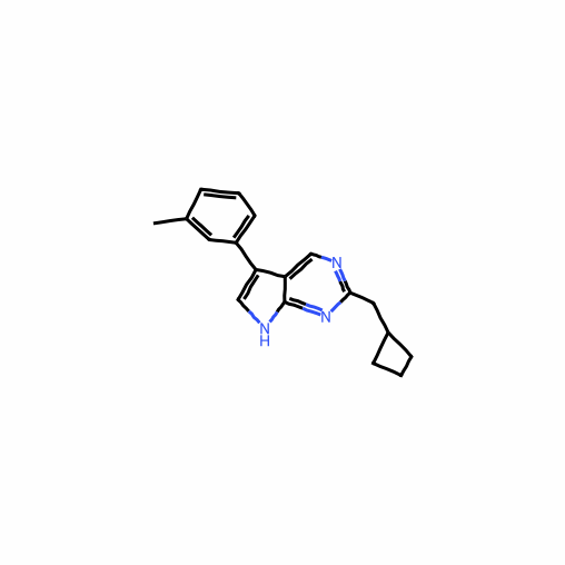 Cc1cccc(-c2c[nH]c3nc(CC4CCC4)ncc23)c1